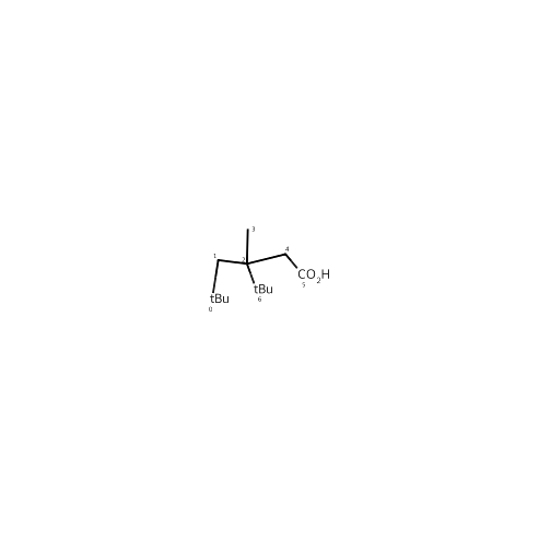 CC(C)(C)CC(C)(CC(=O)O)C(C)(C)C